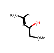 COCC(O)C=C(C)C(=O)O